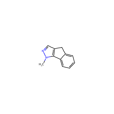 Cn1ncc2c1-c1ccccc1C2